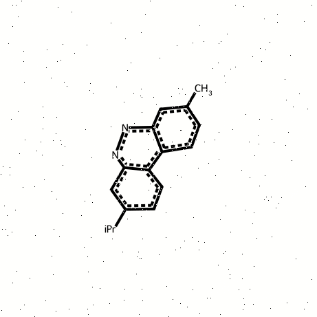 Cc1ccc2c(c1)nnc1cc(C(C)C)ccc12